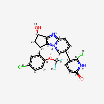 O=c1ccc(-c2ccc3nc4c(n3c2)[C@@H](c2cc(Cl)ccc2OC(F)F)C[C@H]4O)c(Cl)[nH]1